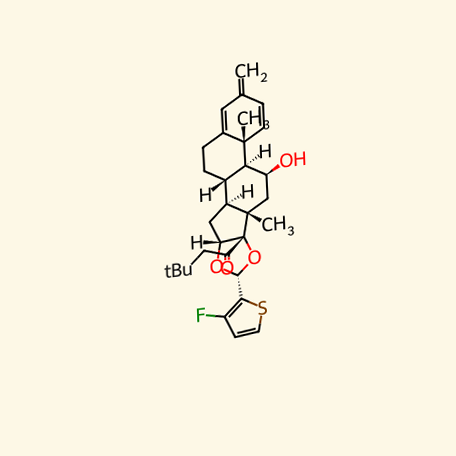 C=C1C=C[C@@]2(C)C(=C1)CC[C@@H]1[C@@H]2[C@@H](O)C[C@@]2(C)[C@H]1C[C@H]1O[C@@H](c3sccc3F)O[C@]12C(=O)CC(C)(C)C